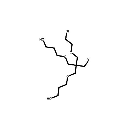 [3H]CC(COCCO)(COCCCO)COCCCO